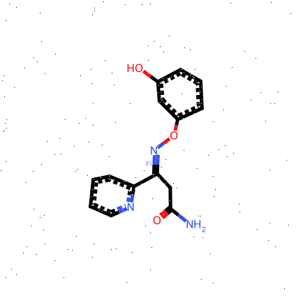 NC(=O)C/C(=N\Oc1cccc(O)c1)c1ccccn1